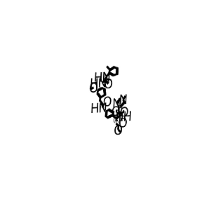 COC(=O)C[C@@H](NS(=O)(=O)c1cn(C)cn1)c1ccc(NC(=O)Cc2ccc(NC(=O)Nc3ccccc3C)c(OC)c2)cc1